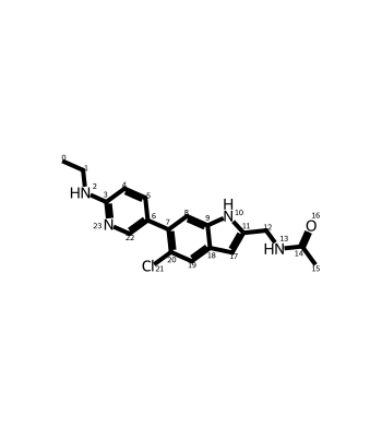 CCNc1ccc(-c2cc3[nH]c(CNC(C)=O)cc3cc2Cl)cn1